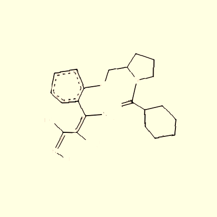 C/N=C(C)\C(C(=O)O)=C(\N)c1ccccc1OCC1CCCN1C(=O)C1CCCCC1